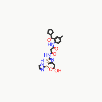 Cc1ccc(NC(=O)CC(=O)Nc2nc(CC(=O)O)c(Sc3ncc[nH]3)s2)c(C(=O)C2CCCC2)c1